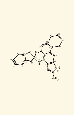 Cc1nc2c3c(c(N4CCCCC4=O)cc2[nH]1)CCC1(Cc2ccccc2C1)N3